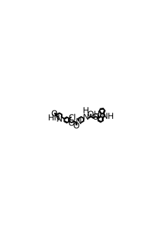 O=C1CCC(c2ccc(OCC(=O)N3CCC(NCC(O)COc4cccc5[nH]c6ccccc6c45)CC3)c(Cl)c2)=NN1